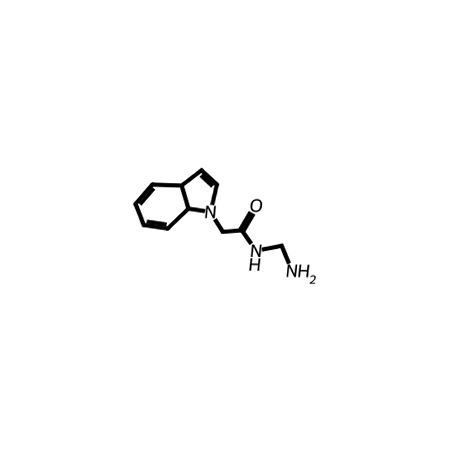 NCNC(=O)CN1C=CC2C=CC=CC21